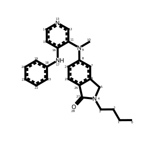 CCCCN1Cc2cc(N(C)c3cnccc3Nc3ccccc3)ccc2C1=O